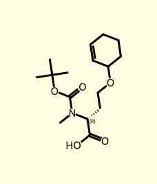 CN(C(=O)OC(C)(C)C)[C@H](CCOC1C=CCCC1)C(=O)O